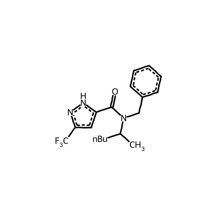 CCCCC(C)N(Cc1ccccc1)C(=O)c1cc(C(F)(F)F)n[nH]1